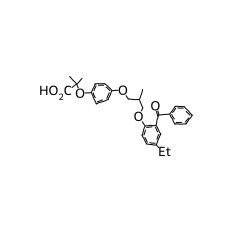 CCc1ccc(OCC(C)COc2ccc(OC(C)(C)C(=O)O)cc2)c(C(=O)c2ccccc2)c1